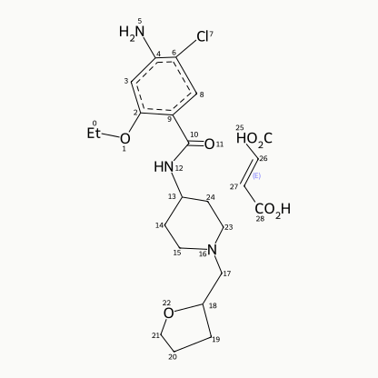 CCOc1cc(N)c(Cl)cc1C(=O)NC1CCN(CC2CCCO2)CC1.O=C(O)/C=C/C(=O)O